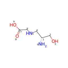 N[C@@H](CO)CNCC(=O)O